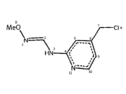 CO/N=C/Nc1cc(CCl)ccn1